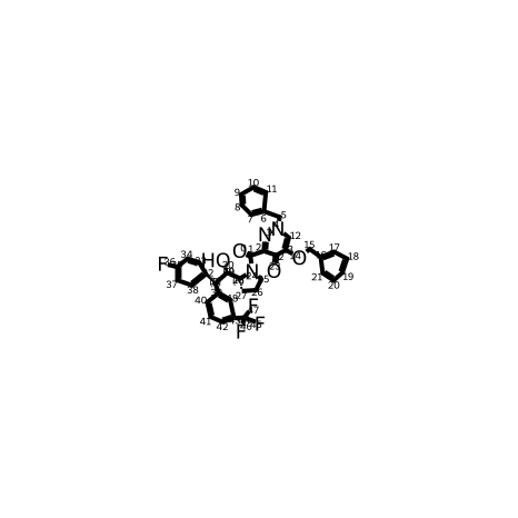 O=C(c1nn(Cc2ccccc2)cc(OCc2ccccc2)c1=O)N1CCC[C@@H]1[C@H](O)[C@H](c1ccc(F)cc1)c1cccc(C(F)(F)F)c1